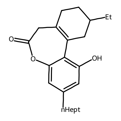 CCCCCCCc1cc(O)c2c(c1)OC(=O)CC1=C2CC(CC)CC1